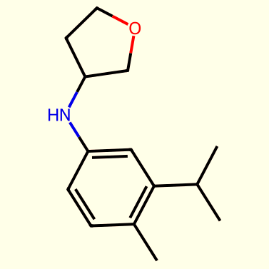 Cc1ccc(NC2CCOC2)cc1C(C)C